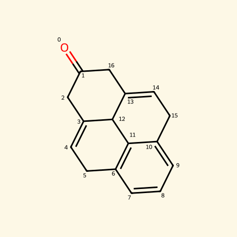 O=C1CC2=CCc3cccc4c3C2C(=CC4)C1